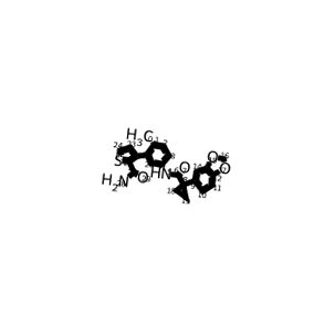 Cc1ccc(NC(=O)C2(c3ccc4c(c3)OCO4)CC2)cc1-c1ccsc1C(N)=O